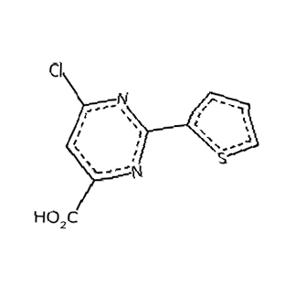 O=C(O)c1cc(Cl)nc(-c2cccs2)n1